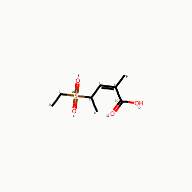 CCS(=O)(=O)C(C)C=C(C)C(=O)O